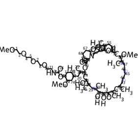 COCCOCCOCCOCCNC(=O)O[C@@H]1CC[C@@H](C[C@@H](C)[C@@H]2C[C@@H](O)[C@H](C)/C=C(\C)[C@@H](O)[C@@H](O)C(=O)C(C)C[C@H](C)/C=C/C=C/C=C(\C)[C@@H](OC)C[C@@H]3CC[C@@H](C)[C@@](O)(O3)C(=O)C(=O)N3CCCC[C@H]3C(=O)O2)C[C@H]1OC